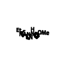 CCc1ncc(-c2ccnc(Nc3cccc(OC)c3)n2)s1